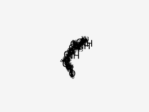 CCOCCN1CCC(Oc2ccc(C(=O)Nc3ccc(Oc4cc(F)c(NC(=O)NC(CC)CC)cc4OC)cc3)cc2C)CC1